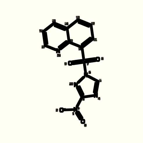 O=[N+]([O-])c1ncn(S(=O)(=O)c2cccc3cccnc23)n1